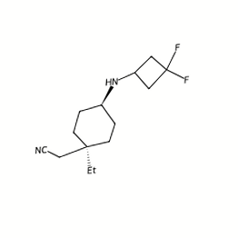 CC[C@]1(CC#N)CC[C@@H](NC2CC(F)(F)C2)CC1